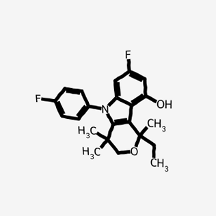 CCC1(C)OCC(C)(C)c2c1c1c(O)cc(F)cc1n2-c1ccc(F)cc1